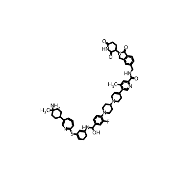 Cc1cc(C(=O)NCc2ccc3c(c2)CN(C2CCC(=O)NC2=O)C3=O)ncc1C1=CCN(C2CCN(c3ccc(C(O)NC4=CC(SC5=NC=C(C6CCC(C)(N)CC6)C=C=C5)=CCC4)cc3F)CC2)CC1